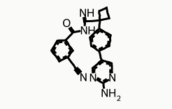 N#Cc1cccc(C(=O)NC(=N)C2(c3ccc(-c4cnc(N)nc4)cc3)CCC2)c1